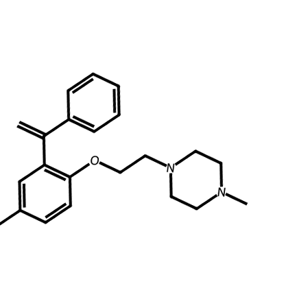 C=C(c1ccccc1)c1cc(C)ccc1OCCN1CCN(C)CC1